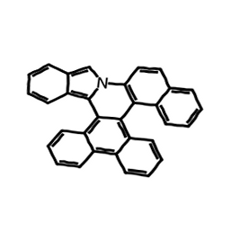 c1ccc2c(c1)ccc1c2c2c3ccccc3c3ccccc3c2c2c3ccccc3cn12